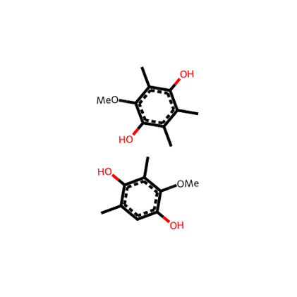 COc1c(C)c(O)c(C)c(C)c1O.COc1c(O)cc(C)c(O)c1C